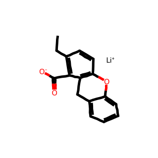 CCc1ccc2c(c1C(=O)[O-])Cc1ccccc1O2.[Li+]